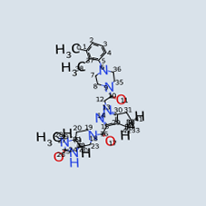 Cc1cccc(N2CCN(C(=O)Cn3nc(C(=O)N4CC[C@H]5[C@@H](C4)NC(=O)N5C)c4c3C[C@H]3C[C@@H]43)CC2)c1C